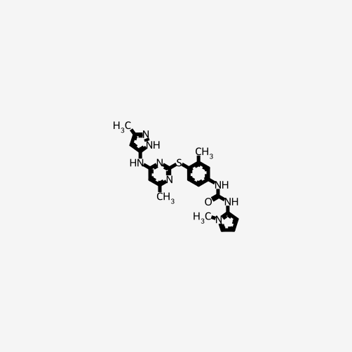 Cc1cc(Nc2cc(C)nc(Sc3ccc(NC(=O)Nc4cccn4C)cc3C)n2)[nH]n1